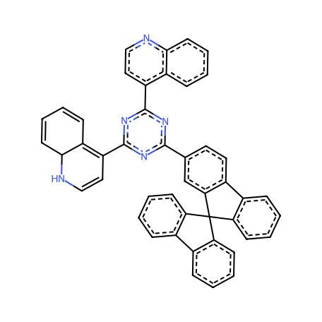 C1=CC2=C(c3nc(-c4ccc5c(c4)C4(c6ccccc6-c6ccccc64)c4ccccc4-5)nc(-c4ccnc5ccccc45)n3)C=CNC2C=C1